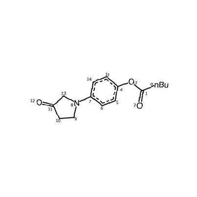 CCCCC(=O)Oc1ccc(N2CCC(=O)C2)cc1